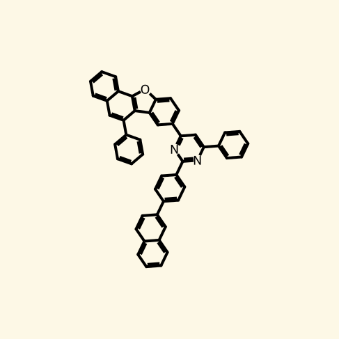 c1ccc(-c2cc(-c3ccc4oc5c6ccccc6cc(-c6ccccc6)c5c4c3)nc(-c3ccc(-c4ccc5ccccc5c4)cc3)n2)cc1